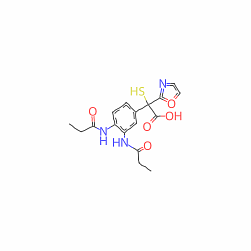 CCC(=O)Nc1ccc(C(S)(C(=O)O)c2ncco2)cc1NC(=O)CC